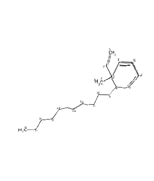 C=CC1(C)C=CC=CC1CCCCCCCCCC